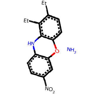 CCc1ccc2c(c1CC)Nc1ccc([N+](=O)[O-])cc1O2.N